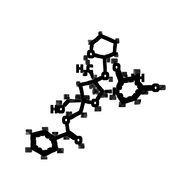 C[C@@]1(OC2CCCCO2)C[C@](CO)(COC(=O)c2ccccc2)O[C@H]1n1ccc(=O)[nH]c1=O